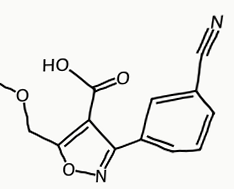 COCc1onc(-c2cccc(C#N)c2)c1C(=O)O